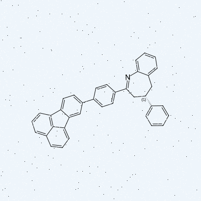 c1ccc([C@@H]2CC(c3ccc(-c4ccc5c(c4)-c4cccc6cccc-5c46)cc3)=Nc3ccccc3C2)cc1